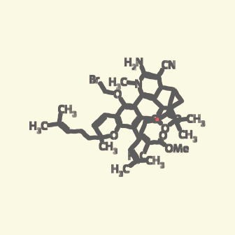 COC(=O)/C(C)=C\CC12OC(C)(C)C3CC(C1=O)C1C(C#N)=C(N)N(C)C4=C1C32Oc1c(CC=C(C)C)c2c(c(OCBr)c14)C=CC(C)(CCC=C(C)C)O2